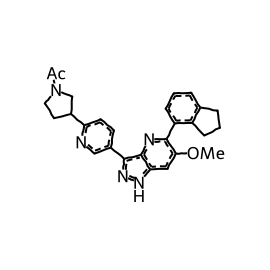 COc1cc2[nH]nc(-c3ccc(C4CCN(C(C)=O)C4)nc3)c2nc1-c1cccc2c1CCC2